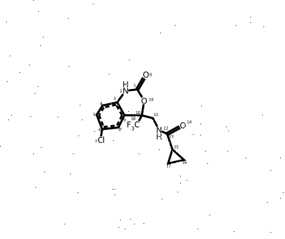 O=C1Nc2ccc(Cl)cc2C(CNC(=O)C2CC2)(C(F)(F)F)O1